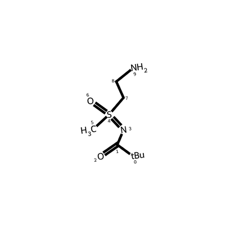 CC(C)(C)C(=O)N=S(C)(=O)CCN